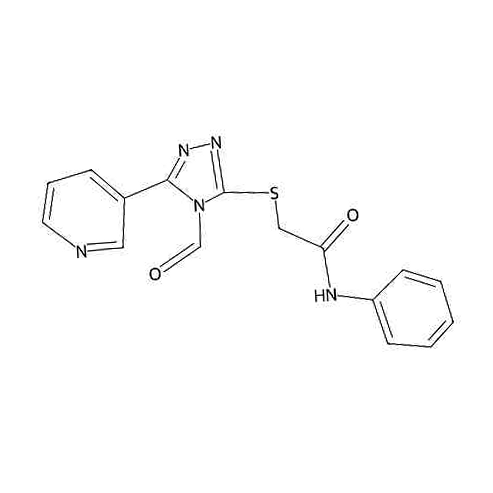 O=Cn1c(SCC(=O)Nc2ccccc2)nnc1-c1cccnc1